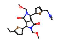 [C-]#[N+]Cc1ccc(C2=C3C(=O)N(COC)C(c4ccc(CC)s4)=C3C(=O)N2COC)s1